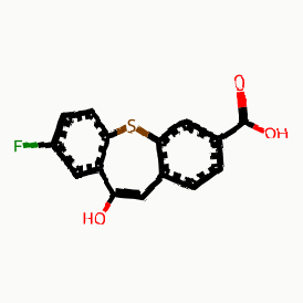 O=C(O)c1ccc2c(c1)Sc1ccc(F)cc1C(O)=C2